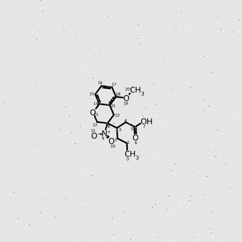 CCCC(CC(=O)O)C1([N+](=O)[O-])COc2cccc(OC)c2C1